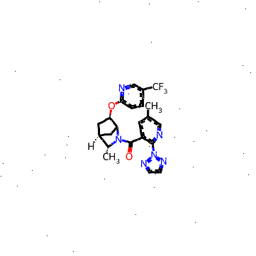 Cc1cnc(-n2nccn2)c(C(=O)N2C3C[C@H](C[C@H]3Oc3ccc(C(F)(F)F)cn3)[C@H]2C)c1